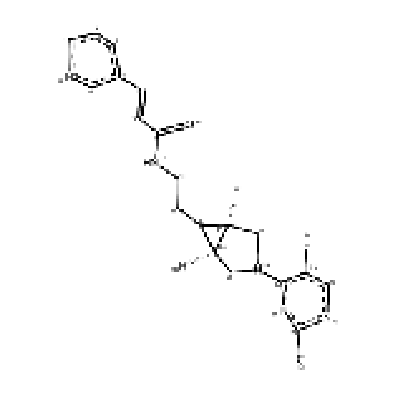 O=C(/C=C/c1cccnc1)NCCC1[C@H]2CN(c3nc(Cl)ncc3F)C[C@@H]12